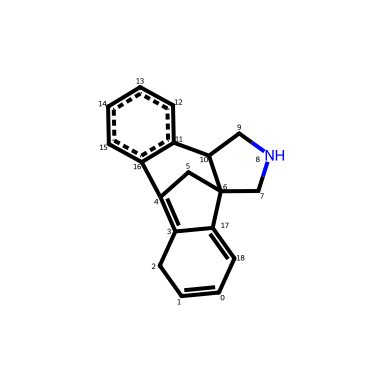 C1=CCC2=C3CC4(CNCC4c4ccccc43)C2=C1